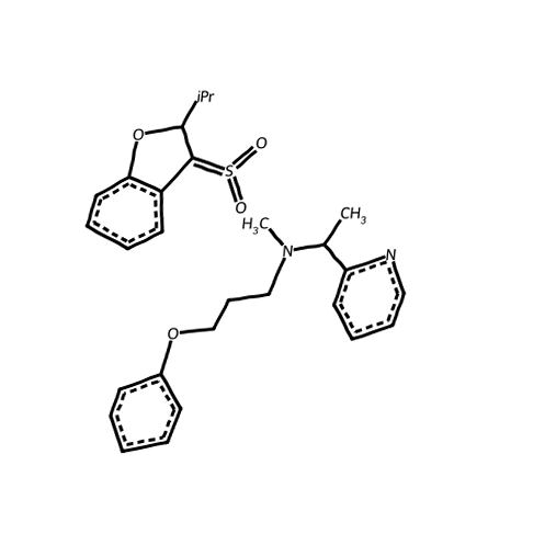 CC(C)C1Oc2ccccc2C1=S(=O)=O.CC(c1ccccn1)N(C)CCCOc1ccccc1